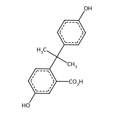 CC(C)(c1ccc(O)cc1)c1ccc(O)cc1C(=O)O